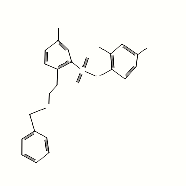 CCOC(=O)c1ccc(NS(=O)(=O)c2cc(F)ccc2CCOCc2ccccc2)c(F)c1